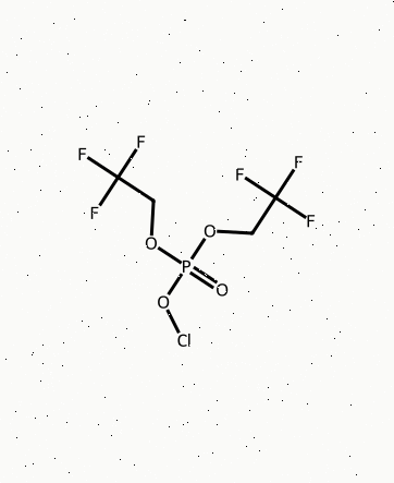 O=P(OCl)(OCC(F)(F)F)OCC(F)(F)F